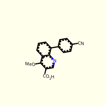 COc1c(C(=O)O)cnc2c(-c3ccc(C#N)cc3)cccc12